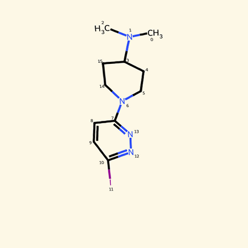 CN(C)C1CCN(c2ccc(I)nn2)CC1